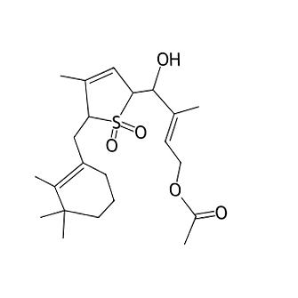 CC(=O)OCC=C(C)C(O)C1C=C(C)C(CC2=C(C)C(C)(C)CCC2)S1(=O)=O